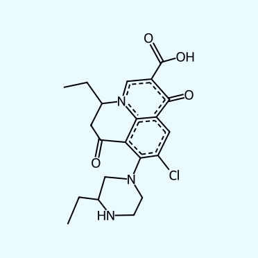 CCC1CN(c2c(Cl)cc3c(=O)c(C(=O)O)cn4c3c2C(=O)CC4CC)CCN1